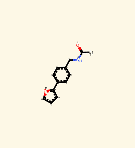 CCC(=O)NCc1ccc(-c2ccco2)cc1